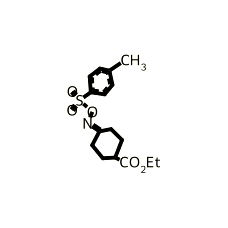 CCOC(=O)C1CCC(=NOS(=O)(=O)c2ccc(C)cc2)CC1